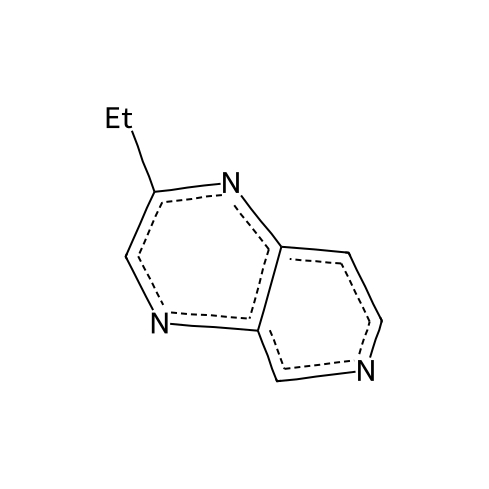 CCc1cnc2cnccc2n1